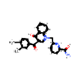 Cc1ccc(C(=O)c2cn(Cc3cccc(C(N)=O)n3)c3ccccc3c2=O)cc1C